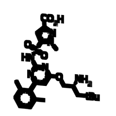 Cc1cccc(C)c1-c1cc(OC[C@H](N)CC(C)(C)C)nc(NS(=O)(=O)c2cc(C(=O)O)nn2C)n1